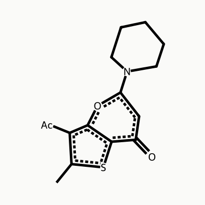 CC(=O)c1c(C)sc2c(=O)cc(N3CCCCC3)oc12